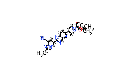 Cc1cn2cc(-c3ncc4nc(C5=CCN(C(=O)OC(C)(C)C)CC5)ccc4n3)cc(C#N)c2n1